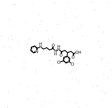 O=C(O)CC(CC(=O)NNC(=O)CCCNc1ccccn1)c1cc(Cl)cc(Cl)c1